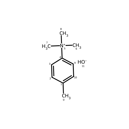 Cc1ccc([N+](C)(C)C)cc1.[OH-]